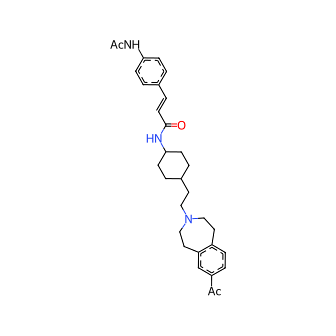 CC(=O)Nc1ccc(/C=C/C(=O)NC2CCC(CCN3CCc4ccc(C(C)=O)cc4CC3)CC2)cc1